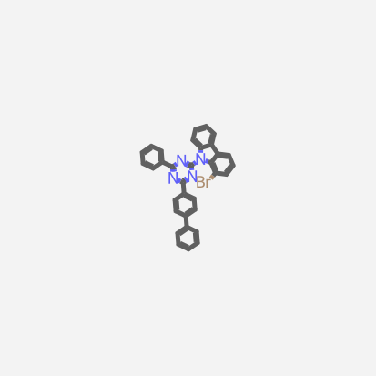 Brc1cccc2c3ccccc3n(-c3nc(-c4ccccc4)nc(-c4ccc(-c5ccccc5)cc4)n3)c12